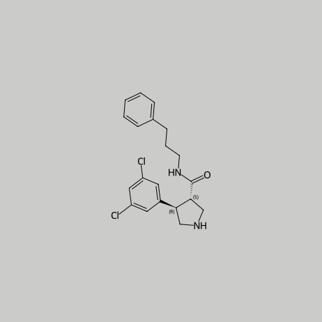 O=C(NCCCc1ccccc1)[C@@H]1CNC[C@H]1c1cc(Cl)cc(Cl)c1